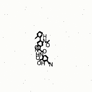 CC(=O)Nc1cc2c(C(=O)Nc3ccc(C#N)cc3C(=O)O)noc2cc1-c1ccccc1C